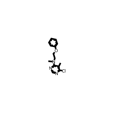 Cc1c(Cl)ncnc1N(C)CCOc1ccccc1